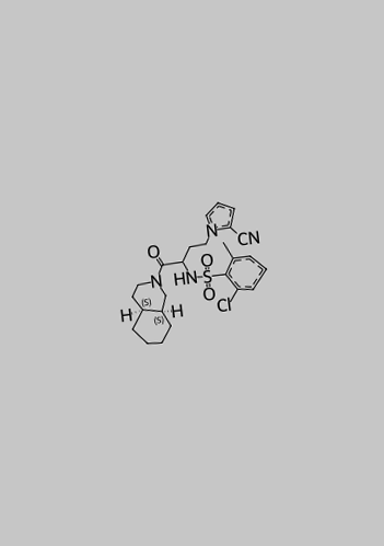 Cc1cccc(Cl)c1S(=O)(=O)NC(CCn1cccc1C#N)C(=O)N1CC[C@@H]2CCCC[C@@H]2C1